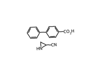 N#CC1CN1.O=C(O)c1ccc(-c2ccccc2)cc1